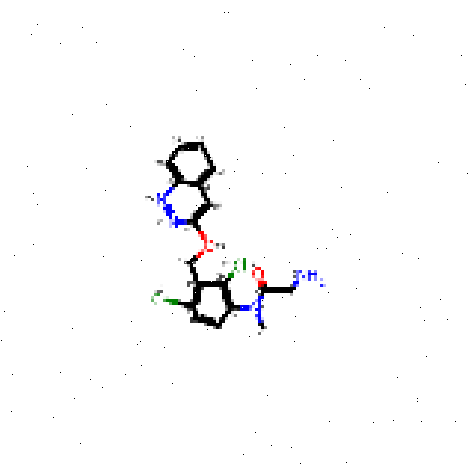 CN(C(=O)CN)c1ccc(Cl)c(COc2cc3ccccc3nn2)c1Cl